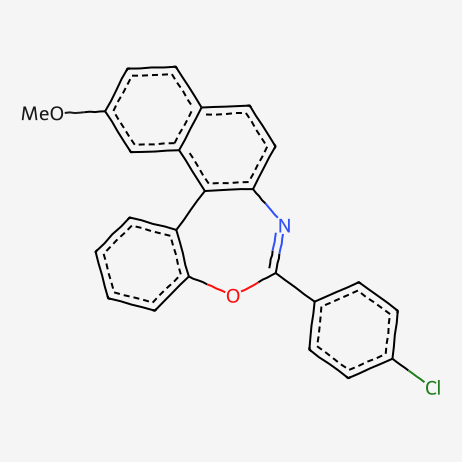 COc1ccc2ccc3c(c2c1)-c1ccccc1OC(c1ccc(Cl)cc1)=N3